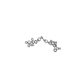 CN(CCN1CCC(N2CCN3c4cc(-c5ccccc5O)nnc4NC[C@H]3C2)CC1)C1CCN(c2ccc3c(c2)C(=O)N(C2CCC(=O)NC2=O)C3=O)CC1